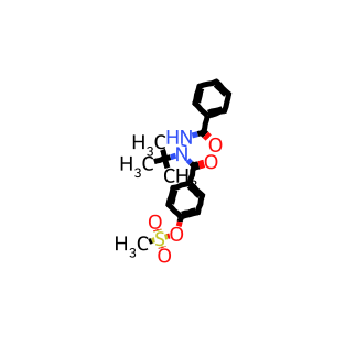 CC(C)(C)N(NC(=O)c1ccccc1)C(=O)c1ccc(OS(C)(=O)=O)cc1